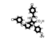 CC(C)Oc1ccc(-n2c(C(=O)O)c(NC(=O)c3ccc(Cl)cc3)c3nc(Oc4cccc(Cl)c4)ccc32)cc1